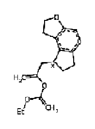 C=C(C[C@@H]1CCc2ccc3c(c21)CCO3)OC(=C)OCC